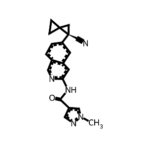 Cn1cc(C(=O)Nc2cc3cc([C@@]4(C#N)CC45CC5)ccc3cn2)cn1